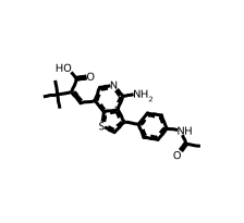 CC(=O)Nc1ccc(-c2csc3c(C=C(C(=O)O)C(C)(C)C)cnc(N)c23)cc1